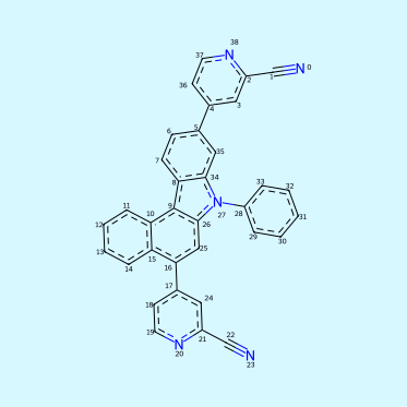 N#Cc1cc(-c2ccc3c4c5ccccc5c(-c5ccnc(C#N)c5)cc4n(-c4ccccc4)c3c2)ccn1